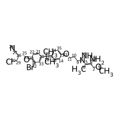 COC/C(N)=C(\C)N(N)CCCOc1ccc(C(C)(C)c2ccc(OC[C@@H](C#N)CCl)c(Br)c2)cc1